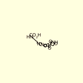 O=C(O)NCCCCCCN1CCN(c2ccc3c(c2)CN(C2CCC(=O)NC2=O)C3=O)CC1